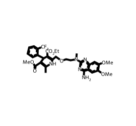 CCOC(=O)C1=C(COCCN(C)c2nc(N)c3cc(OC)c(OC)cc3n2)NC(C)=C(C(=O)OC)C1c1ccccc1C(F)(F)F